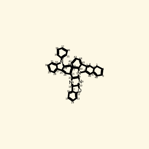 C1=CCC2C=c3c(n(-c4nc5oc6ccccc6c5nc4-c4ccc5c(c4)c4ccccc4n5-c4ccccc4)c4ccccc34)=CC2=C1